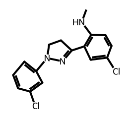 CNc1ccc(Cl)cc1C1=NN(c2cccc(Cl)c2)CC1